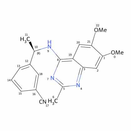 COc1cc2nc(C)nc(N[C@H](C)c3cccc(C#N)c3)c2cc1OC